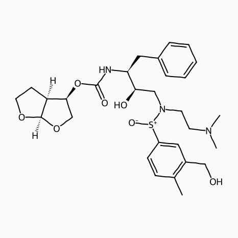 Cc1ccc([S+]([O-])N(CCN(C)C)C[C@@H](O)[C@H](Cc2ccccc2)NC(=O)O[C@H]2CO[C@H]3OCC[C@H]32)cc1CO